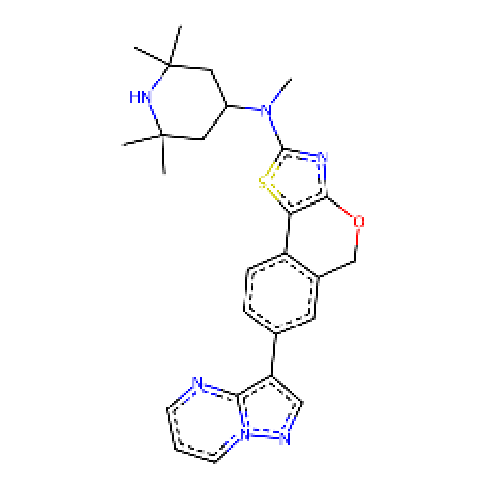 CN(c1nc2c(s1)-c1ccc(-c3cnn4cccnc34)cc1CO2)C1CC(C)(C)NC(C)(C)C1